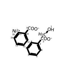 CO.O=C([O-])c1ccccc1.O=C([O-])c1ccccc1.[Ni+2]